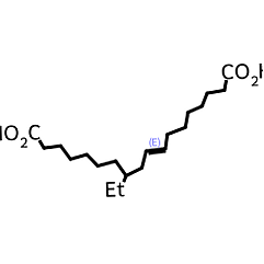 CCC(C/C=C/CCCCCCC(=O)O)CCCCCCC(=O)O